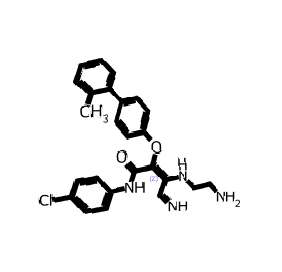 Cc1ccccc1-c1ccc(O/C(C(=O)Nc2ccc(Cl)cc2)=C(/C=N)NCCN)cc1